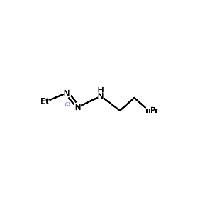 CCCCCN/N=N/CC